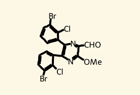 COc1nc(-c2cccc(Br)c2Cl)c(-c2cccc(Br)c2Cl)nc1C=O